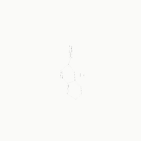 Cl.N#Cc1cnc2ccccc2c1